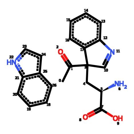 CC(=O)C1(C[C@H](N)C(=O)O)C=Nc2ccccc21.c1ccc2[nH]ccc2c1